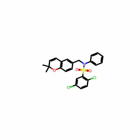 CC1(C)C=Cc2cc(CN(c3ccccc3)S(=O)(=O)c3cc(Cl)ccc3Cl)ccc2O1